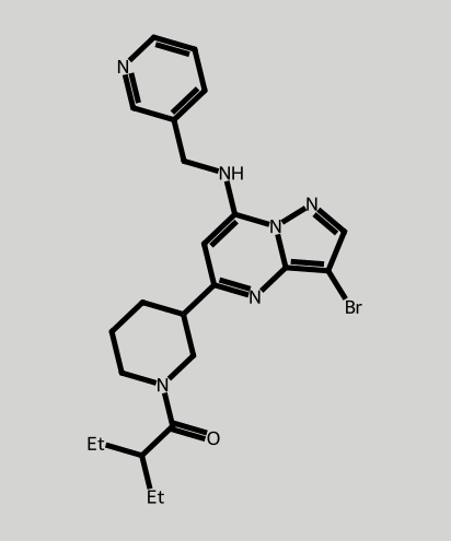 CCC(CC)C(=O)N1CCCC(c2cc(NCc3cccnc3)n3ncc(Br)c3n2)C1